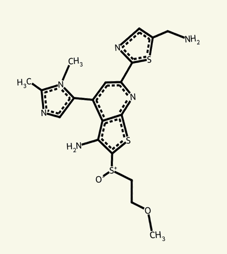 COCC[S+]([O-])c1sc2nc(-c3ncc(CN)s3)cc(-c3cnc(C)n3C)c2c1N